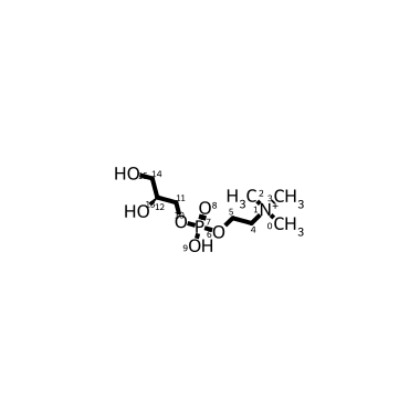 C[N+](C)(C)CCOP(=O)(O)OC[C@@H](O)CO